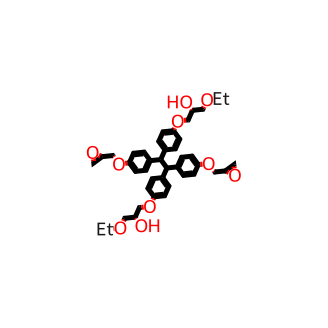 CCOCC(O)COc1ccc(C(c2ccc(OCC3CO3)cc2)C(c2ccc(OCC(O)COCC)cc2)c2ccc(OCC3CO3)cc2)cc1